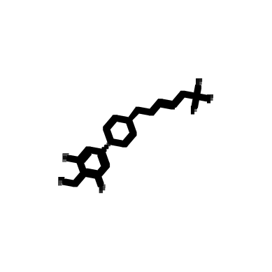 FCc1c(F)cc([C@H]2CC[C@H](CCC=CCC(F)(F)F)CC2)cc1F